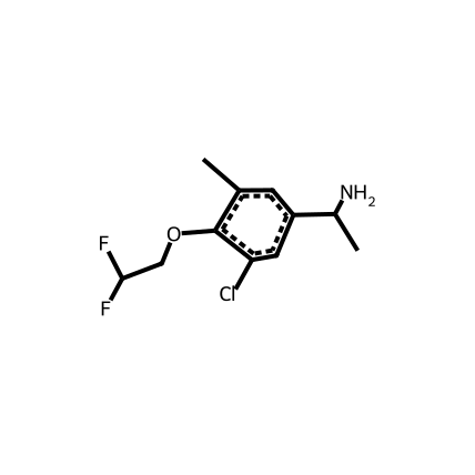 Cc1cc(C(C)N)cc(Cl)c1OCC(F)F